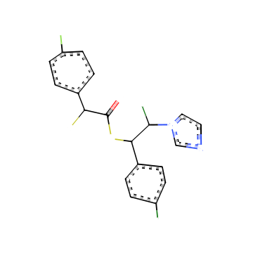 O=C(SC(c1ccc(Cl)cc1)C(Cl)n1ccnc1)C(S)c1ccc(F)cc1